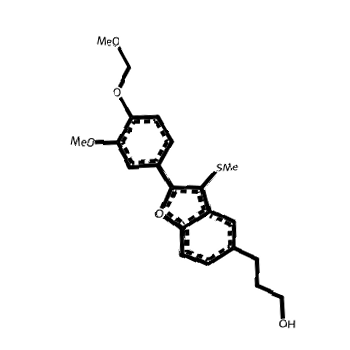 COCOc1ccc(-c2oc3ccc(CCCO)cc3c2SC)cc1OC